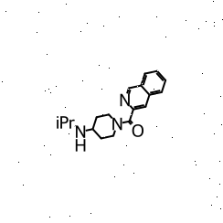 CC(C)NC1CCN(C(=O)c2cc3ccccc3cn2)CC1